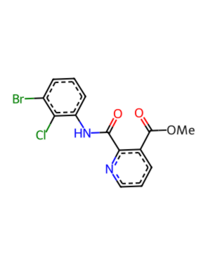 COC(=O)c1cccnc1C(=O)Nc1cccc(Br)c1Cl